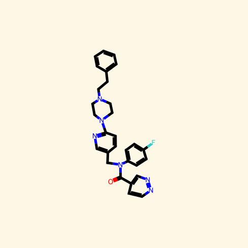 O=C(c1ccnnc1)N(Cc1ccc(N2CCN(CCc3ccccc3)CC2)nc1)c1ccc(F)cc1